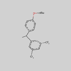 CCCCOc1ccc(C(C)c2cc(C(F)(F)F)cc(C(F)(F)F)c2)cc1